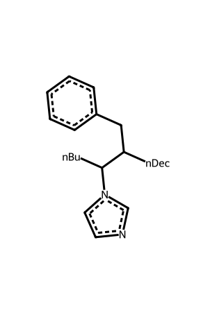 CCCCCCCCCCC(Cc1ccccc1)C(CCCC)n1ccnc1